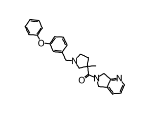 CC1(C(=O)N2Cc3cccnc3C2)CCN(Cc2cccc(Oc3ccccc3)c2)C1